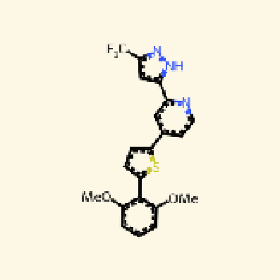 COc1cccc(OC)c1-c1ccc(-c2ccnc(-c3cc(C(F)(F)F)n[nH]3)c2)s1